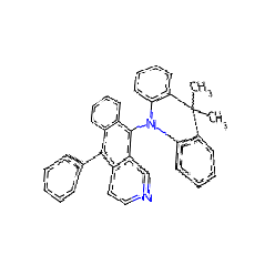 CC1(C)c2ccccc2N(c2c3ccccc3c(-c3ccccc3)c3ccncc23)c2ccccc21